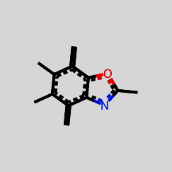 C=c1c(C)c(C)c(=C)c2oc(C)nc12